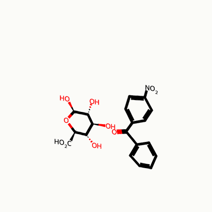 O=C(O)[C@H]1O[C@@H](O)[C@H](O)[C@@H](O)[C@@H]1O.O=C(c1ccccc1)c1ccc([N+](=O)[O-])cc1